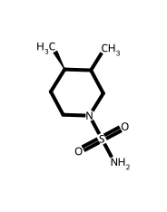 CC1CN(S(N)(=O)=O)CC[C@H]1C